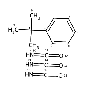 CC(C)(C)c1ccccc1.N=C=O.N=C=O.N=C=O